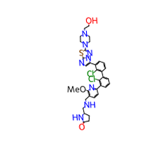 COc1nc(-c2cccc(-c3cccc(-c4cnc5sc(N6CCN(CCO)CC6)nn45)c3Cl)c2Cl)ccc1CNCC1CCC(=O)N1